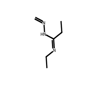 C=NN/C(CC)=N\CC